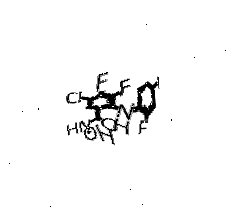 O=C(NO)c1cc(Cl)c(F)c(F)c1Nc1ccc(I)cc1F